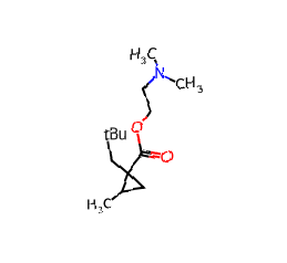 CC1CC1(CC(C)(C)C)C(=O)OCCN(C)C